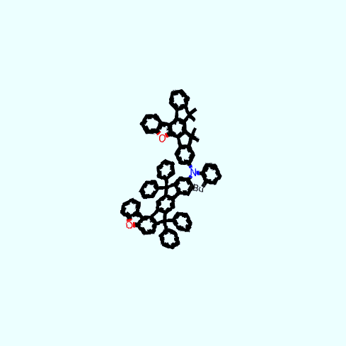 CC(C)(C)c1ccccc1N(c1ccc2c(c1)C(C)(C)c1c3c(c4c(oc5ccccc54)c1-2)-c1ccccc1C3(C)C)c1ccc2c(c1)C(c1ccccc1)(c1ccccc1)c1cc3c(cc1-2)C(c1ccccc1)(c1ccccc1)c1ccc2oc4ccccc4c2c1-3